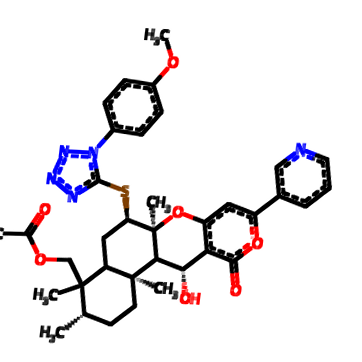 COc1ccc(-n2nnnc2S[C@@H]2CC3C(C)(COC(C)=O)[C@@H](C)CC[C@]3(C)C3[C@@H](O)c4c(cc(-c5cccnc5)oc4=O)O[C@@]32C)cc1